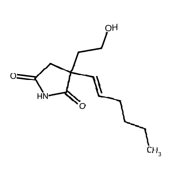 CCCCC=CC1(CCO)CC(=O)NC1=O